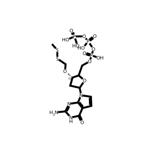 CSSCO[C@H]1CC(n2ccc3c(=O)[nH]c(N)nc32)OC1COP(=O)(O)OP(=O)(O)OP(=O)(O)O